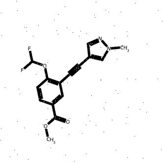 COC(=O)c1ccc(OC(F)F)c(C#Cc2cnn(C)c2)c1